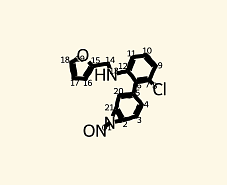 O=NN1c2ccc(-c3c(Cl)cccc3NCc3ccco3)cc21